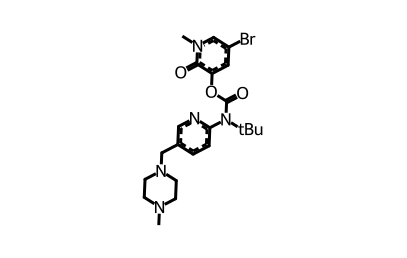 CN1CCN(Cc2ccc(N(C(=O)Oc3cc(Br)cn(C)c3=O)C(C)(C)C)nc2)CC1